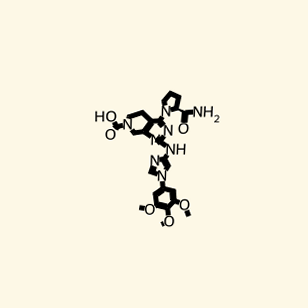 COc1cc(-n2cnc(Nc3nc4c(c(N5CCC[C@H]5C(N)=O)n3)CCN(C(=O)O)C4)c2)cc(OC)c1OC